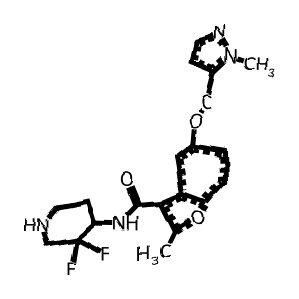 Cc1oc2ccc(OCc3ccnn3C)cc2c1C(=O)NC1CCNCC1(F)F